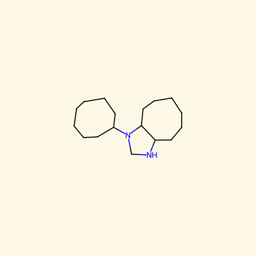 C1CCCC(N2CNC3CCCCCCC32)CCC1